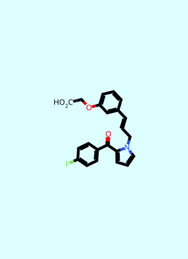 O=C(O)COc1cccc(/C=C/Cn2cccc2C(=O)c2ccc(F)cc2)c1